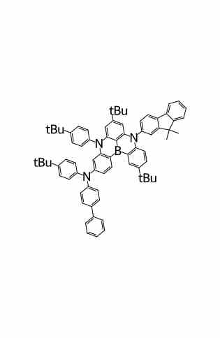 CC(C)(C)c1ccc(N(c2ccc(-c3ccccc3)cc2)c2ccc3c(c2)N(c2ccc(C(C)(C)C)cc2)c2cc(C(C)(C)C)cc4c2B3c2cc(C(C)(C)C)ccc2N4c2ccc3c(c2)C(C)(C)c2ccccc2-3)cc1